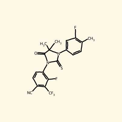 Cc1ccc(N2C(=S)N(c3ccc(C#N)c(C(F)(F)F)c3F)C(=O)C2(C)C)cc1F